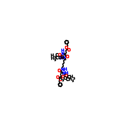 CC(C)(C)OC(=O)N[C@@H](CCC(=O)OCc1ccccc1)C(=O)NCCCCCCNC(=O)[C@@H](CCC(=O)OCc1ccccc1)NC(=O)OC(C)(C)C